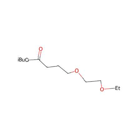 CCOCCOCCCC(=O)OCC(C)C